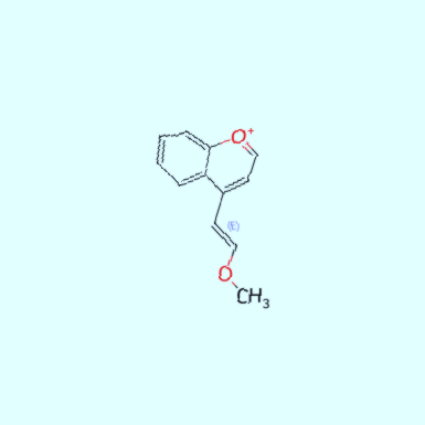 CO/C=C/c1cc[o+]c2ccccc12